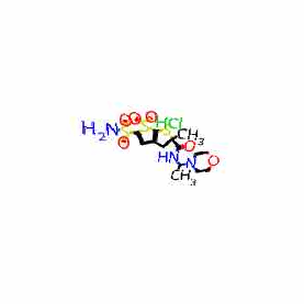 CC(NC(=O)C1(C)CC2=C(S1)S(=O)(=O)C(S(N)(=O)=O)=C2)N1CCOCC1.Cl